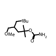 COCC(CC(C)(C)C)CC(C)(C)OC(N)=O